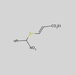 CCCC(SC=CC(=O)OCC)[N+](=O)[O-]